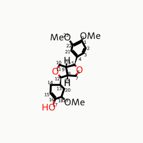 COc1ccc([C@H]2OC[C@H]3[C@@H]2CO[C@@H]3C2CC=C(O)C(OC)C2)cc1OC